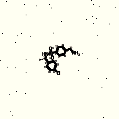 C[C@H](NS(=O)(=O)c1ccc(CN)cc1)c1ccc(Cl)cc1